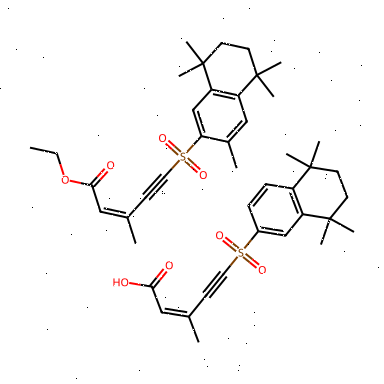 CC(C#CS(=O)(=O)c1ccc2c(c1)C(C)(C)CCC2(C)C)=CC(=O)O.CCOC(=O)C=C(C)C#CS(=O)(=O)c1cc2c(cc1C)C(C)(C)CCC2(C)C